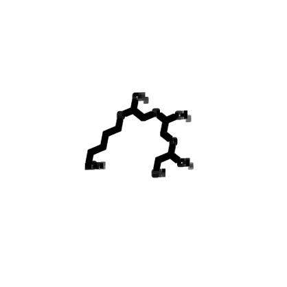 CCCCCCCCCCCCCCOC(C)COC(C)COC(C)CO